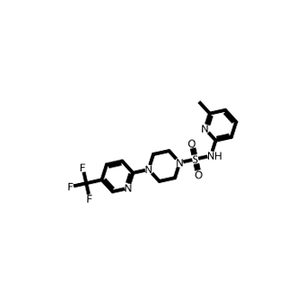 Cc1cccc(NS(=O)(=O)N2CCN(c3ccc(C(F)(F)F)cn3)CC2)n1